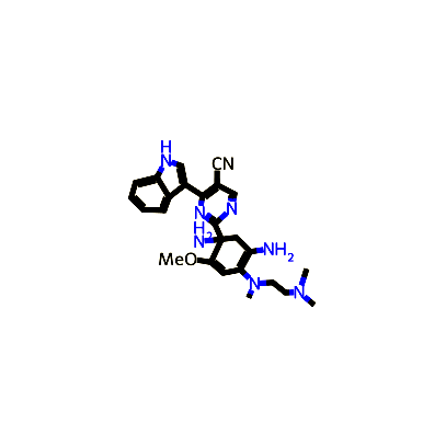 COC1=CC(N(C)CCN(C)C)=C(N)CC1(N)c1ncc(C#N)c(-c2c[nH]c3ccccc23)n1